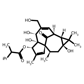 CC1=C[C@]23C(=O)[C@@H](C=C(CO)[C@@H](O)[C@]2(O)[C@H]1OC(=O)C(C)C(C)C)[C@@H]1C(C)(C)[C@]1(O)C[C@H]3C